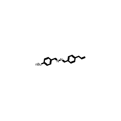 C=CCc1ccc(/C=N/N=C/c2ccc(CCCC)cc2)cc1